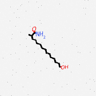 CC(=CCCCCCCCCCCCCO)C(N)=O